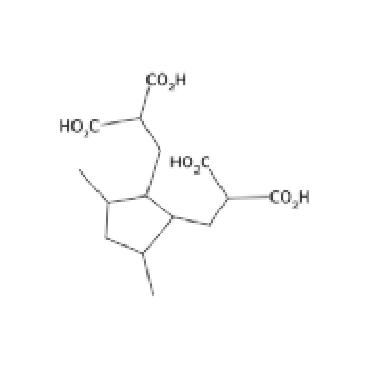 CC1CC(C)C(CC(C(=O)O)C(=O)O)C1CC(C(=O)O)C(=O)O